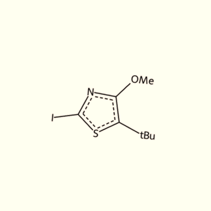 COc1nc(I)sc1C(C)(C)C